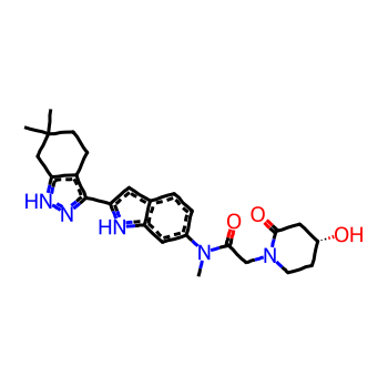 CN(C(=O)CN1CC[C@@H](O)CC1=O)c1ccc2cc(-c3n[nH]c4c3CCC(C)(C)C4)[nH]c2c1